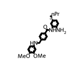 CCCSc1ccc(N)c(NC(=O)c2ccc(CNc3ccc(OC)c(OC)c3)cc2)c1